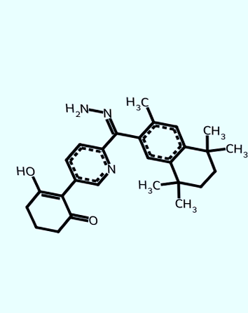 Cc1cc2c(cc1C(=NN)c1ccc(C3=C(O)CCCC3=O)cn1)C(C)(C)CCC2(C)C